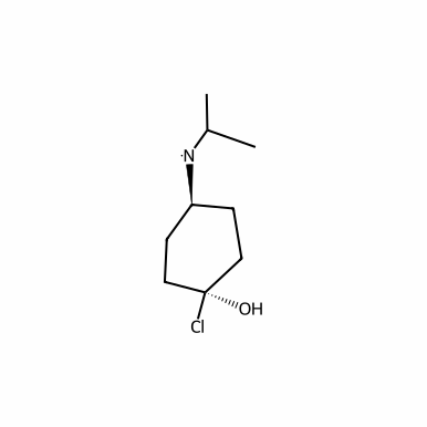 CC(C)[N][C@H]1CC[C@@](O)(Cl)CC1